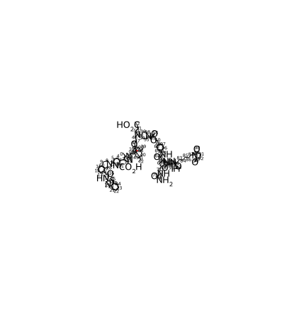 Cc1c(-c2ccc(N3CCc4cccc(C(=O)Nc5nc6ccccc6s5)c4C3)nc2C(=O)O)cnn1CC12CC3(C)CC(C)(C1)CC(OCCN(CCC(=O)O)C1CCN(C(=O)OCc4ccc(NC(=O)[C@H](CCCNC(N)=O)NC(=O)[C@@H](NC(=O)CCCCCN5C(=O)C=CC5=O)C(C)C)cc4)CC1)(C3)C2